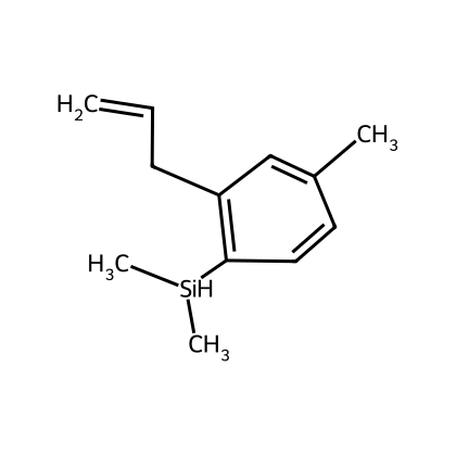 C=CCc1cc(C)ccc1[SiH](C)C